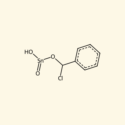 [O]=[Sn]([OH])[O]C(Cl)c1ccccc1